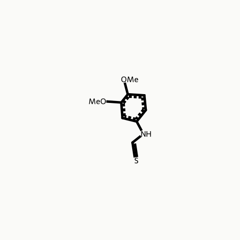 COc1ccc(NC=S)cc1OC